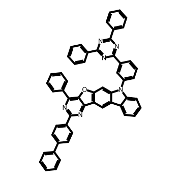 c1ccc(-c2ccc(-c3nc(-c4ccccc4)c4oc5cc6c(cc5c4n3)c3ccccc3n6-c3cccc(-c4nc(-c5ccccc5)nc(-c5ccccc5)n4)c3)cc2)cc1